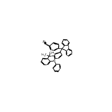 CC1(C)c2ccccc2N(c2ccccc2)c2ccc(C3(c4ccc(C#N)cc4)c4ccccc4-c4ccccc43)cc21